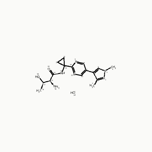 Cc1nn(C)cc1-c1cnc(C2(NC(=O)[C@@H](N)[C@@H](C)O)CC2)nc1.Cl